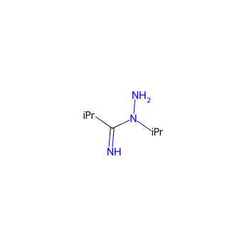 CC(C)C(=N)N(N)C(C)C